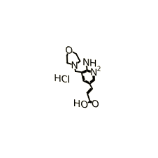 Cl.Nc1ncc(/C=C/C(=O)O)cc1CN1CCOCC1